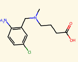 CN(CCCC(=O)O)Cc1cc(Cl)ccc1N